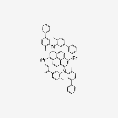 C=CC(=C)c1ccc(C)c(N(c2cc(-c3ccccc3)ccc2C)c2cc(C(C)C)c3ccc4c5c(ccc2c35)=C(C(C)C)CC4N(c2cc(-c3ccccc3)ccc2C)c2cc(-c3ccccc3)ccc2C)c1